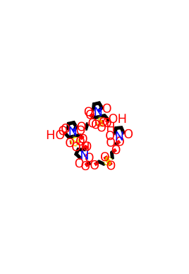 O=C(O)CC(C(=O)OCCOC(=O)C(CC(=O)O)(N1C(=O)CCC1=O)S(=O)(=O)O)(N1C(=O)CCC1=O)S(=O)(=O)O.O=C(OCCS(=O)(=O)CCOC(=O)ON1C(=O)CCC1=O)ON1C(=O)CCC1=O